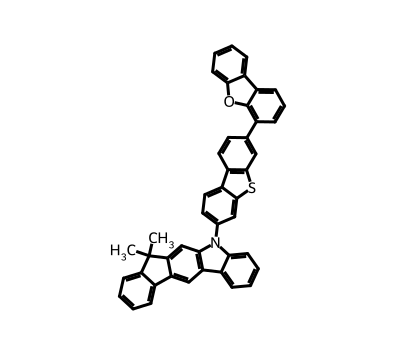 CC1(C)c2ccccc2-c2cc3c4ccccc4n(-c4ccc5c(c4)sc4cc(-c6cccc7c6oc6ccccc67)ccc45)c3cc21